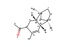 CC(=O)C1C[C@@H]2[C@H]3CC[C@H](C3)[C@@H]2C=C1C